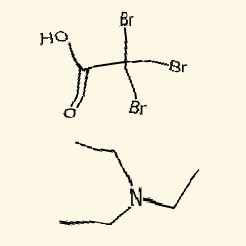 CCN(CC)CC.O=C(O)C(Br)(Br)Br